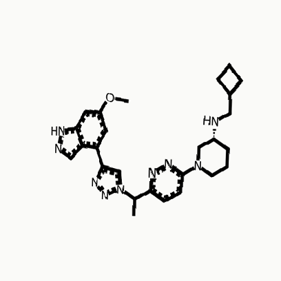 COc1cc(-c2cn(C(C)c3ccc(N4CCC[C@@H](NCC5CCC5)C4)nn3)nn2)c2cn[nH]c2c1